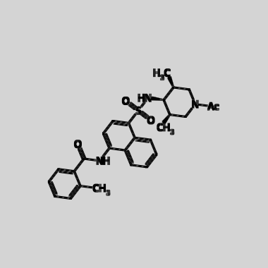 CC(=O)N1C[C@@H](C)[C@@H](NS(=O)(=O)c2ccc(NC(=O)c3ccccc3C)c3ccccc23)[C@@H](C)C1